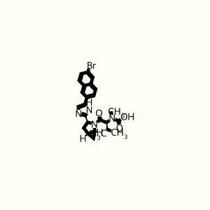 CC(C)[C@@H](C(=O)N1[C@@H]2C[C@@H]2C[C@H]1c1ncc(-c2ccc3cc(Br)ccc3c2)[nH]1)N(C)C(=O)O